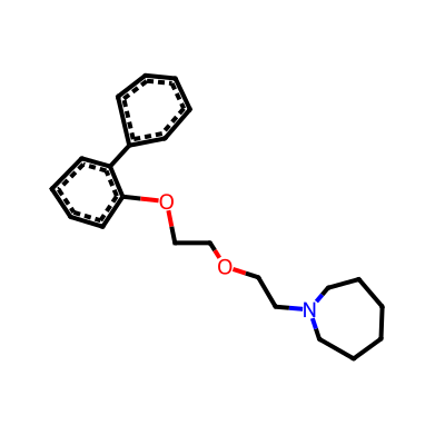 c1ccc(-c2ccccc2OCCOCCN2CCCCCC2)cc1